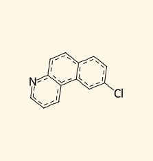 Clc1ccc2ccc3ncccc3c2c1